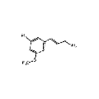 CCc1cc(/C=C/CN)cc(OC(F)(F)F)c1